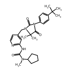 CN(C(=O)Nc1cc(CN2C(=O)N(c3ccc(C(C)(C)C)cc3)C(=O)C2(C)C)ccn1)C1CCCC1